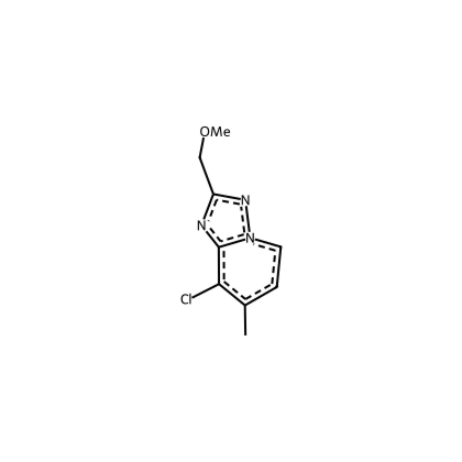 COCc1nc2c(Cl)c(C)ccn2n1